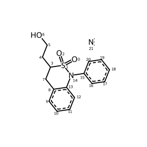 O=S1(=O)C(CCO)Cc2ccccc2N1c1ccccc1.[N]